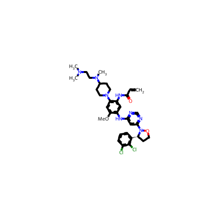 C=CC(=O)Nc1cc(Nc2cc(N3OCC[C@@H]3c3cccc(Cl)c3Cl)ncn2)c(OC)cc1N1CCC(N(C)CCN(C)C)CC1